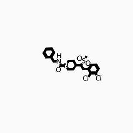 CS(=O)(=O)C(Cc1cccc(Cl)c1Cl)C1CCN(C(=O)NCc2ccccc2)CC1